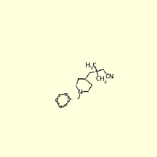 CC(C)(CC#N)CC1CCN(Cc2ccccc2)CC1